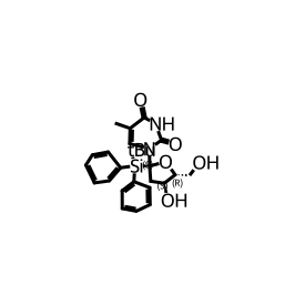 Cc1cn([C@@]2([Si](c3ccccc3)(c3ccccc3)C(C)(C)C)C[C@H](O)[C@@H](CO)O2)c(=O)[nH]c1=O